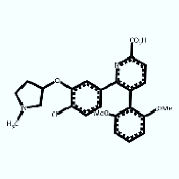 COc1cccc(OC)c1-c1ccc(C(=O)O)nc1-c1ccc(Cl)c(OC2CCN(C)C2)c1